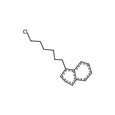 ClCCCCCCc1cccc2ccccc12